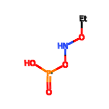 CCONO[P](=O)O